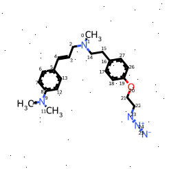 CN(CC=Cc1ccc(N(C)C)cc1)CCc1ccc(OCCN=[N+]=[N-])cc1